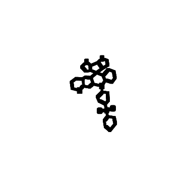 O=S(=O)(c1ccccc1)c1ccc(N2c3ccccc3C3(c4cc5cccnc5cc42)c2ccsc2-c2sccc23)cc1